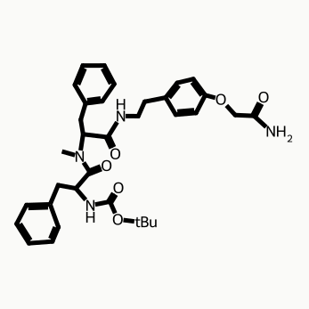 CN(C(=O)C(Cc1ccccc1)NC(=O)OC(C)(C)C)C(Cc1ccccc1)C(=O)NCCc1ccc(OCC(N)=O)cc1